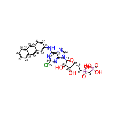 O=P(O)(O)CP(=O)(O)CC[C@H]1O[C@@H](n2cnc3c(Nc4ccc5cc6ccccc6cc5c4)nc(Cl)nc32)C(O)C1O